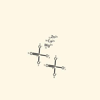 O=P([O-])([O-])[O-].O=P([O-])([O-])[O-].[Ca+2].[Mg+2].[Zn+2]